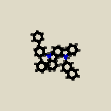 c1ccc(-c2ccc(-c3ccccc3)c(-n3c4ccccc4c4c3ccc3c5ccccc5n(-c5ccc6ccccc6c5)c34)c2)cc1